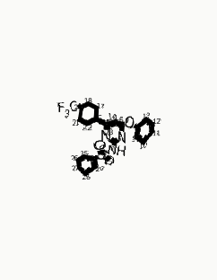 O=S(=O)(Nc1nc(Oc2ccccc2)cc(C2CCC(C(F)(F)F)CC2)n1)c1ccccc1